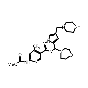 COC(=O)Nc1cc(C(F)(F)F)c(C2=Nn3cc(CN4CCNCC4)cc3C(N3CCOCC3)N2)cn1